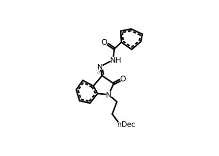 CCCCCCCCCCCCN1C(=O)/C(=N\NC(=O)c2ccccc2)c2ccccc21